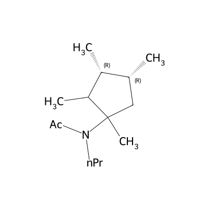 CCCN(C(C)=O)C1(C)C[C@@H](C)[C@@H](C)C1C